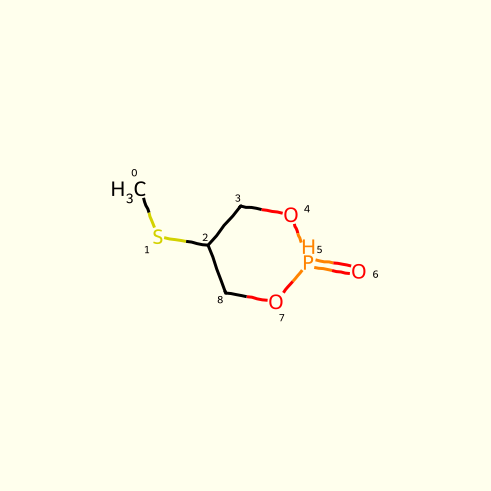 CSC1CO[PH](=O)OC1